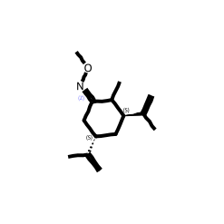 C=C(C)[C@@H]1C/C(=N/OC)C(C)[C@@H](C(=C)C)C1